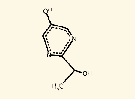 CC(O)c1ncc(O)cn1